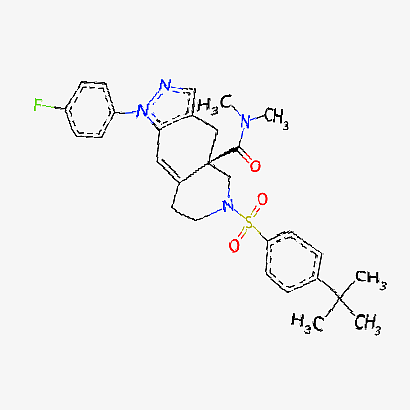 CN(C)C(=O)[C@]12Cc3cnn(-c4ccc(F)cc4)c3C=C1CCN(S(=O)(=O)c1ccc(C(C)(C)C)cc1)C2